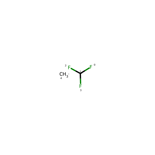 F[C](F)F.[CH3]